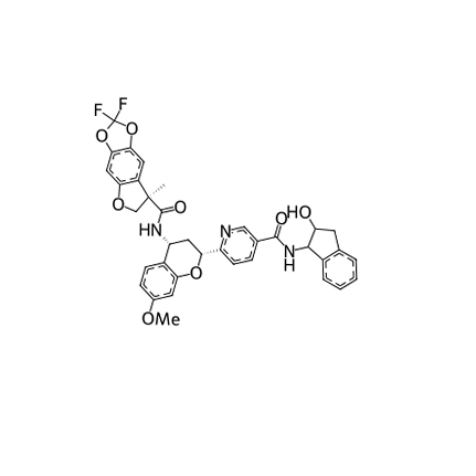 COc1ccc2c(c1)O[C@@H](c1ccc(C(=O)NC3c4ccccc4CC3O)cn1)C[C@H]2NC(=O)[C@@]1(C)COc2cc3c(cc21)OC(F)(F)O3